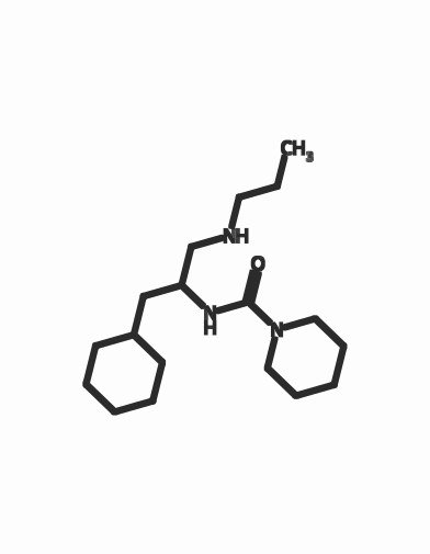 CCCNCC(CC1CCCCC1)NC(=O)N1CCCCC1